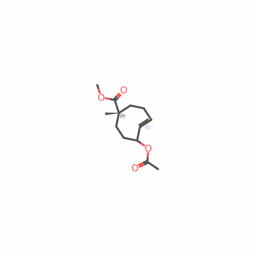 COC(=O)[C@]1(C)CC/C=C/C(OC(C)=O)CC1